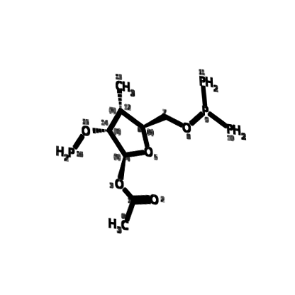 CC(=O)O[C@@H]1O[C@H](COP(P)P)[C@@H](C)[C@H]1OP